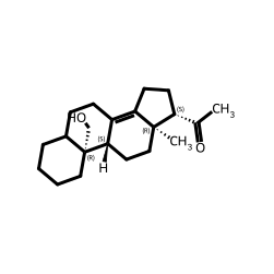 CC(=O)[C@H]1CCC2=C3CCC4CCCC[C@]4(CO)[C@H]3CC[C@@]21C